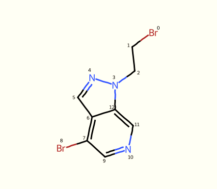 BrCCn1ncc2c(Br)cncc21